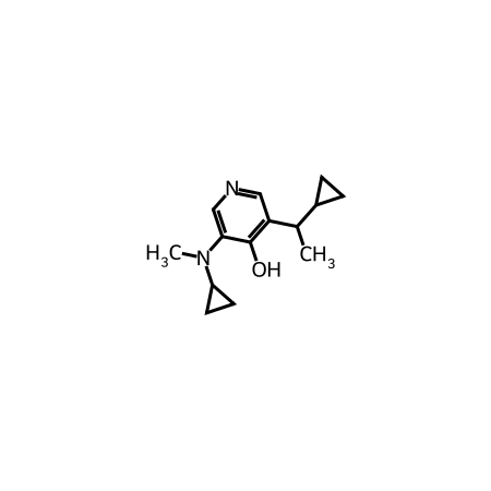 CC(c1cncc(N(C)C2CC2)c1O)C1CC1